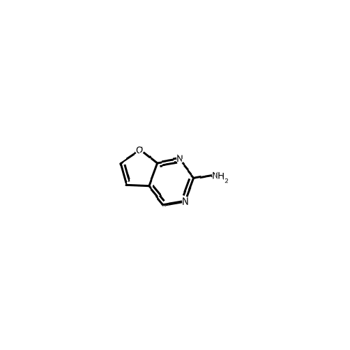 Nc1ncc2ccoc2n1